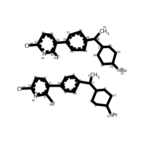 CCCC1CCC(C(C)c2ccc(-c3ccc(Cl)nc3F)cc2)CC1.CCCCC1CCC(C(C)c2ccc(-c3ccc(Cl)nc3F)cc2)CC1